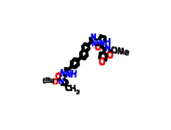 C=C1C[C@@H](c2ncc(-c3ccc(-c4ccc5cc(-c6cnc([C@@H]7CCCN7C(=O)[C@@H](NC(=O)OC)C7CCOCC7)[nH]6)ccc5c4)cc3)[nH]2)N(C(=O)OC(C)(C)C)C1